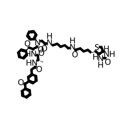 C[C@H](NC(=O)Cc1cccc(C(=O)c2ccccc2)c1)C(=O)N[C@@H]1C(=O)N(CC(=O)NCCCCCNC(=O)CCCC[C@@H]2SC[C@@H]3NC(=O)N[C@@H]32)c2ccccc2O[C@@H]1c1ccccc1